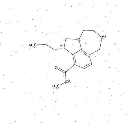 CCC[C@@H]1CN2CCNCc3ccc(C(=O)NC)c1c32